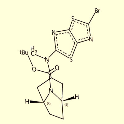 CN(c1nc2sc(Br)nc2s1)C1C[C@H]2CC[C@@H](C1)N2C(=O)OC(C)(C)C